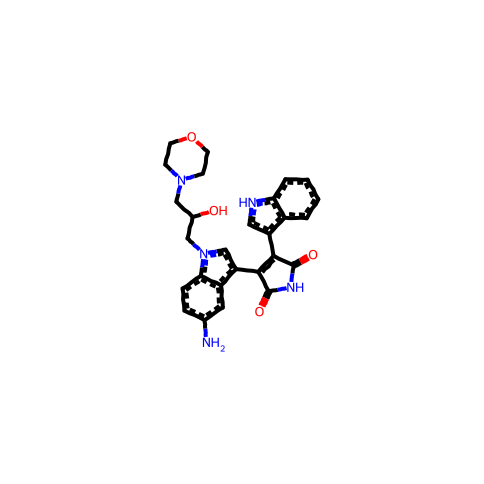 Nc1ccc2c(c1)c(C1=C(c3c[nH]c4ccccc34)C(=O)NC1=O)cn2CC(O)CN1CCOCC1